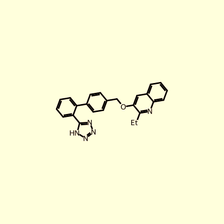 CCc1nc2ccccc2cc1OCc1ccc(-c2ccccc2-c2nnn[nH]2)cc1